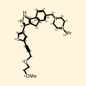 COCCOCC#Cc1cc(-c2n[nH]c3c2Cc2cc(CN4CCN(C(C)C)CC4)ccc2-3)cs1